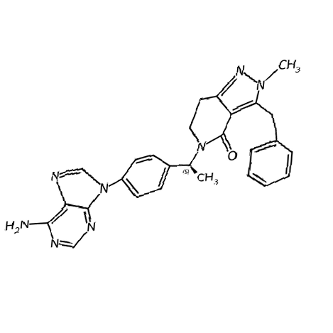 C[C@@H](c1ccc(-n2cnc3c(N)ncnc32)cc1)N1CCc2nn(C)c(Cc3ccccc3)c2C1=O